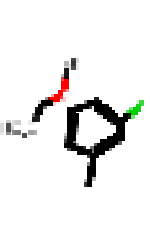 CCOCC(=O)O.Cc1cccc(Cl)c1